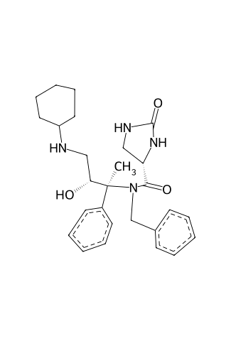 C[C@](c1ccccc1)([C@H](O)CNC1CCCCC1)N(Cc1ccccc1)C(=O)[C@@H]1CNC(=O)N1